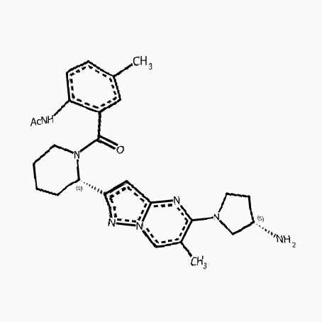 CC(=O)Nc1ccc(C)cc1C(=O)N1CCCC[C@H]1c1cc2nc(N3CC[C@H](N)C3)c(C)cn2n1